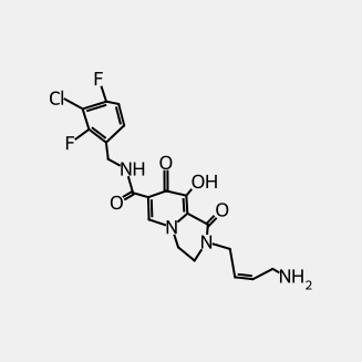 NC/C=C\CN1CCn2cc(C(=O)NCc3ccc(F)c(Cl)c3F)c(=O)c(O)c2C1=O